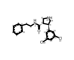 O=C(NCCc1ccccc1)[C@@H]1CNC[C@H]1c1cc(Cl)cc(Cl)c1